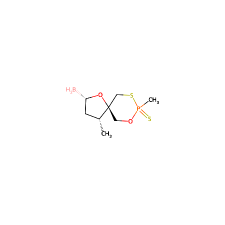 B[C@H]1C[C@@H](C)[C@]2(COP(C)(=S)SC2)O1